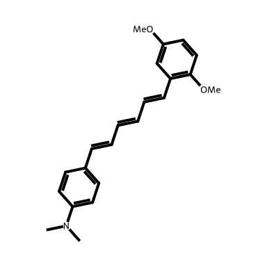 COc1ccc(OC)c(/C=C/C=C/C=C/c2ccc(N(C)C)cc2)c1